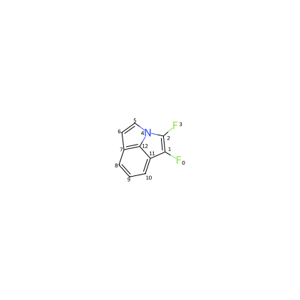 Fc1c(F)n2ccc3cccc1c32